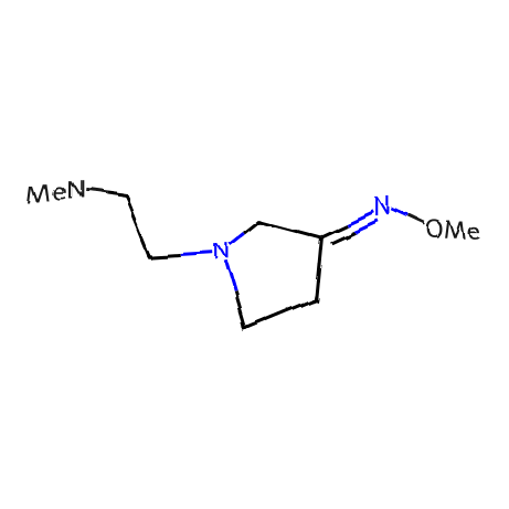 CNCCN1CCC(=NOC)C1